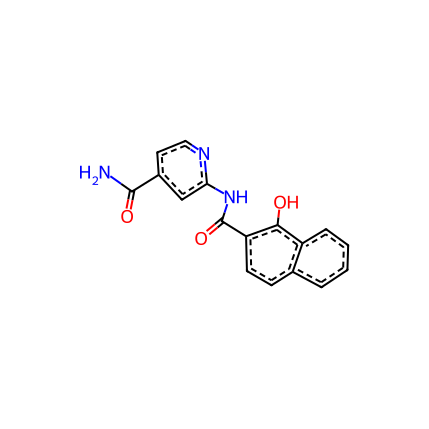 NC(=O)c1ccnc(NC(=O)c2ccc3ccccc3c2O)c1